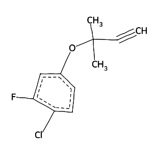 C#CC(C)(C)Oc1ccc(Cl)c(F)c1